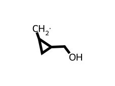 [CH2]C1CC1CO